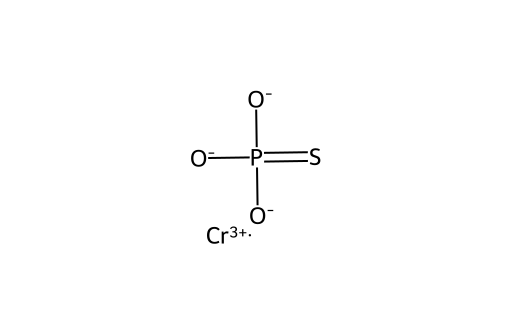 [Cr+3].[O-]P([O-])([O-])=S